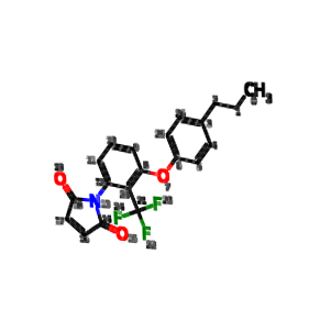 CCCc1ccc(Oc2cccc(N3C(=O)C=CC3=O)c2C(F)(F)F)cc1